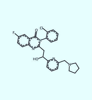 O=c1c2cc(F)ccc2nc(CC(O)c2cccc(CN3CCCC3)n2)n1-c1ccccc1Cl